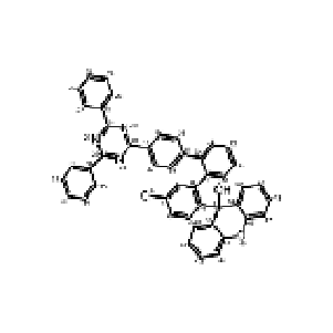 OC1(c2ccc(Cl)cc2-c2ccccc2-c2ccc(-c3nc(-c4ccccc4)nc(-c4ccccc4)n3)cc2)c2ccccc2Oc2ccccc21